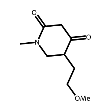 COCCC1CN(C)C(=O)CC1=O